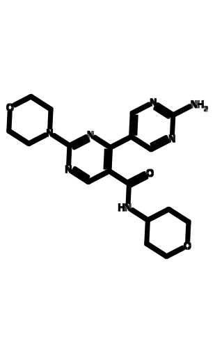 Nc1ncc(-c2nc(N3CCOCC3)ncc2C(=O)NC2CCOCC2)cn1